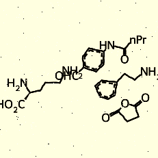 CCCC(=O)Nc1ccc(C=O)cc1.NCCC[C@H](N)C(=O)O.NCCc1ccccc1.O=C1CCC(=O)O1